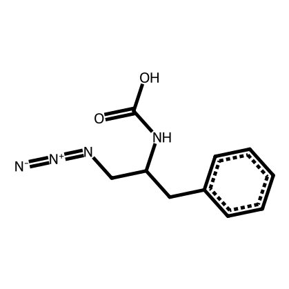 [N-]=[N+]=NCC(Cc1ccccc1)NC(=O)O